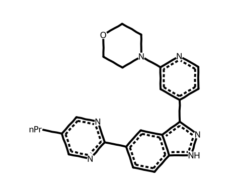 CCCc1cnc(-c2ccc3[nH]nc(-c4ccnc(N5CCOCC5)c4)c3c2)nc1